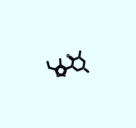 CCc1nsc(N2CN(C)CN(C)C2=O)c1C